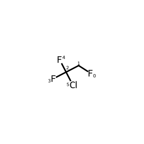 FCC(F)(F)Cl